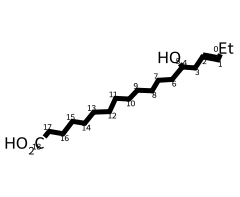 CCC=CCC(O)CCCCCCCCCCCCC(=O)O